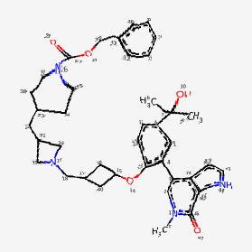 Cn1cc(-c2cc(C(C)(C)O)ccc2OC2CC(CN3CC(CC4CCN(C(=O)OCc5ccccc5)CC4)C3)C2)c2cc[nH]c2c1=O